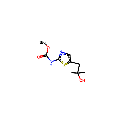 CC(C)(O)Cc1cnc(NC(=O)OC(C)(C)C)s1